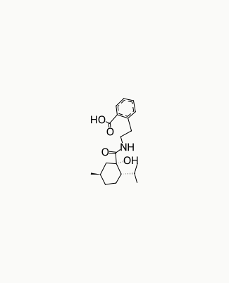 CC(C)[C@@H]1CC[C@@H](C)C[C@@]1(O)C(=O)NCCc1ccccc1C(=O)O